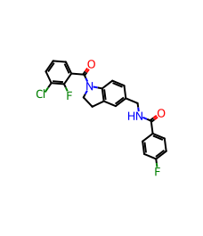 O=C(NCc1ccc2c(c1)CCN2C(=O)c1cccc(Cl)c1F)c1ccc(F)cc1